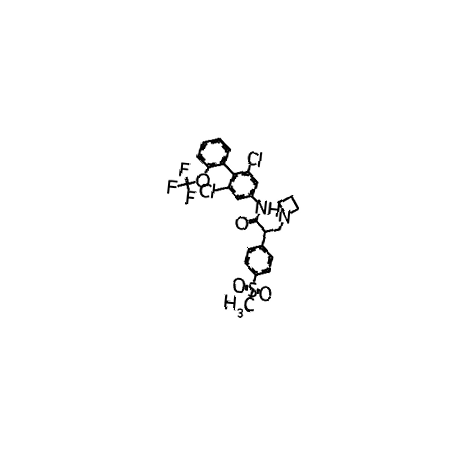 CS(=O)(=O)c1ccc(C(CN2CCC2)C(=O)Nc2cc(Cl)c(-c3ccccc3OC(F)(F)F)c(Cl)c2)cc1